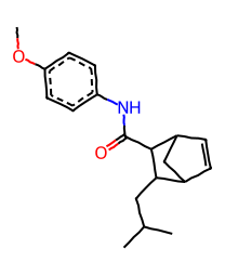 COc1ccc(NC(=O)C2C3C=CC(C3)C2CC(C)C)cc1